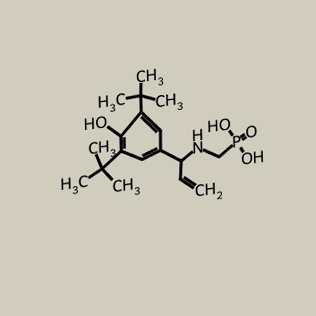 C=CC(NCP(=O)(O)O)c1cc(C(C)(C)C)c(O)c(C(C)(C)C)c1